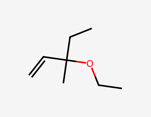 C=CC(C)(CC)OCC